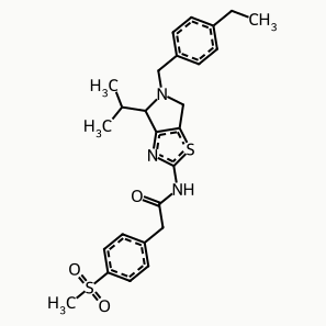 CCc1ccc(CN2Cc3sc(NC(=O)Cc4ccc(S(C)(=O)=O)cc4)nc3C2C(C)C)cc1